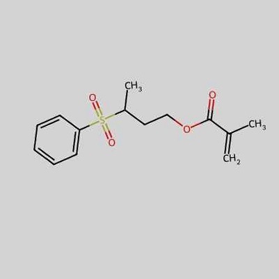 C=C(C)C(=O)OCCC(C)S(=O)(=O)c1ccccc1